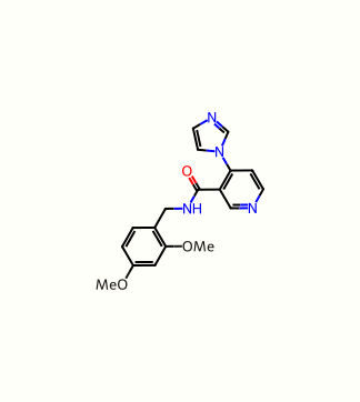 COc1ccc(CNC(=O)c2cnccc2-n2ccnc2)c(OC)c1